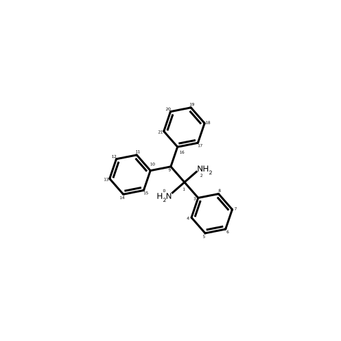 NC(N)(c1ccccc1)C(c1ccccc1)c1ccccc1